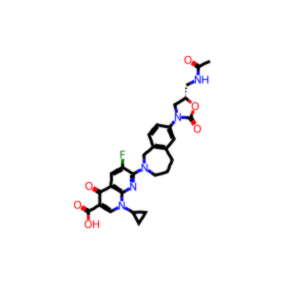 CC(=O)NC[C@H]1CN(c2ccc3c(c2)CCCN(c2nc4c(cc2F)c(=O)c(C(=O)O)cn4C2CC2)C3)C(=O)O1